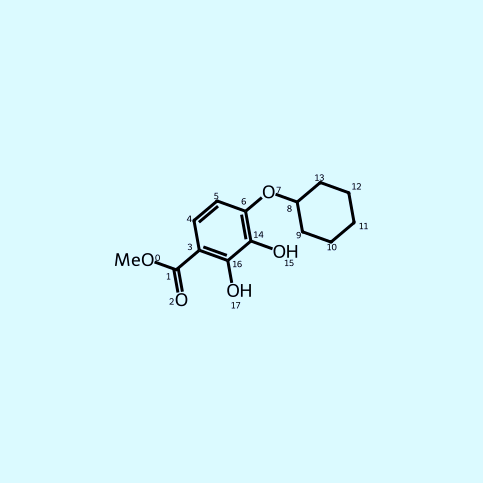 COC(=O)c1ccc(OC2CCCCC2)c(O)c1O